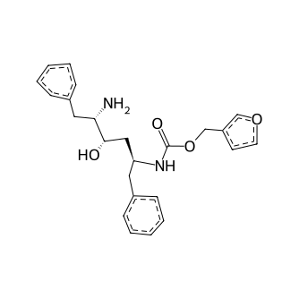 N[C@@H](Cc1ccccc1)[C@@H](O)C[C@H](Cc1ccccc1)NC(=O)OCc1ccoc1